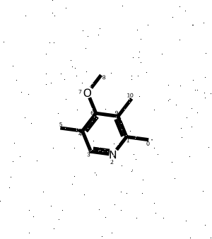 [CH2]c1ncc(C)c(OC)c1C